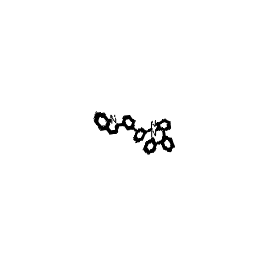 c1cc(-c2cccc(-c3nc4cccc5c4n3-c3ccccc3-c3ccccc3-5)c2)cc(-c2ccc3ccccc3n2)c1